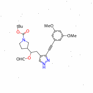 COc1cc(C#Cc2n[nH]cc2CC(OC=O)C2CCN(C(=O)OC(C)(C)C)C2)cc(OC)c1